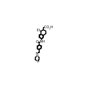 CCC1c2ccc(NC(=O)c3ccc(C=NN4CCOCC4)cc3)cc2CCC1CC(=O)O